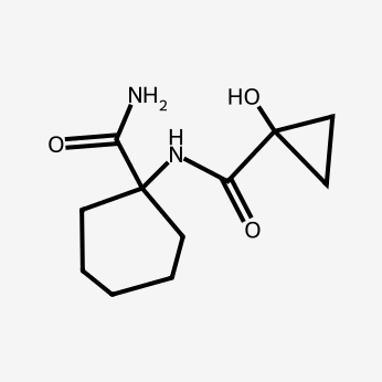 NC(=O)C1(NC(=O)C2(O)CC2)CCCCC1